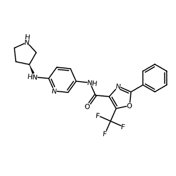 O=C(Nc1ccc(N[C@H]2CCNC2)nc1)c1nc(-c2ccccc2)oc1C(F)(F)F